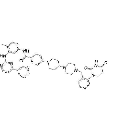 Cc1ccc(NC(=O)c2ccc(N3CCC(N4CCN(Cc5ccccc5N5CCC(=O)NC5=O)CC4)CC3)cc2)cc1Nc1nccc(-c2cccnc2)n1